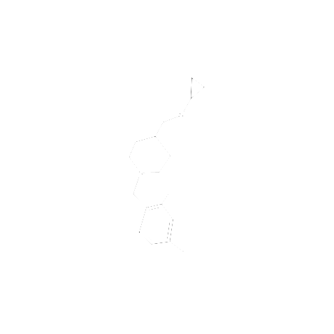 Fc1ccc(CN2CCC(CNC3CC3)CC2)c(F)c1